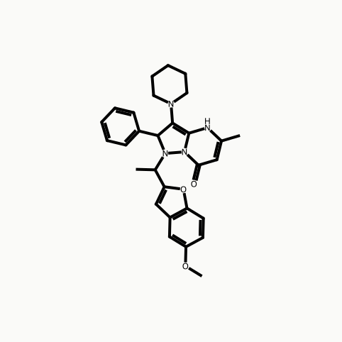 COc1ccc2oc(C(C)N3C(c4ccccc4)C(N4CCCCC4)=C4NC(C)=CC(=O)N43)cc2c1